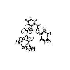 CCOC(C)OCC.Cc1ccc(OCc2ccccc2C=O)cc1.OCCO